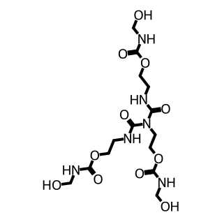 O=C(NCO)OCCNC(=O)N(CCOC(=O)NCO)C(=O)NCCOC(=O)NCO